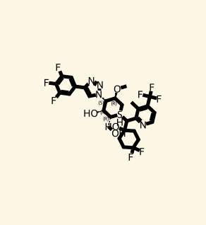 CO[C@H]1C[SH](C(c2nccc(C(F)(F)F)c2C)C2(O)CCC(F)(F)CC2)[C@H](CO)[C@H](O)[C@@H]1n1cc(-c2cc(F)c(F)c(F)c2)nn1